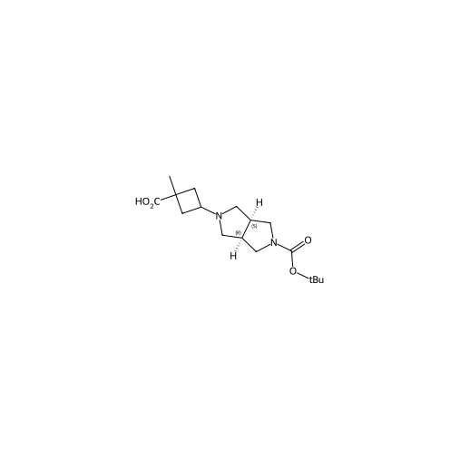 CC(C)(C)OC(=O)N1C[C@@H]2CN(C3CC(C)(C(=O)O)C3)C[C@@H]2C1